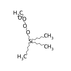 C=CC(=O)OCCOCCOCCC[Si](CCCCCCC)(CCCCCCC)CCCCCCC